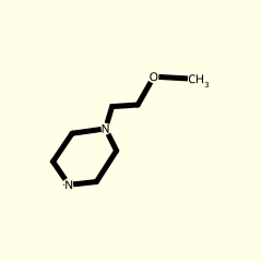 COCCN1CC[N]CC1